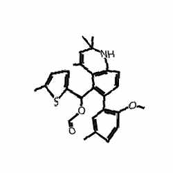 COc1ccc(C)cc1-c1ccc2c(c1C(OC=O)c1ccc(C)s1)C(C)=CC(C)(C)N2